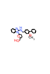 COc1cc(CNc2nc3ccccc3n2[C@H]2CC[C@@H](CO)O2)ccc1-c1ccccc1